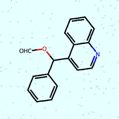 O=COC(c1ccccc1)c1ccnc2ccccc12